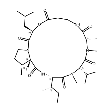 CC[C@H](C)[C@@H]1NC(=O)[C@@H]2[C@@H](C)CCN2C(=O)[C@@H](CC(C)C)OC(=O)CCNC(=O)[C@H](C)N(C)C(=O)[C@H](C(C)C)N(C)C1=O